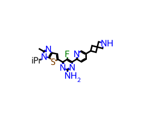 Cc1nc2cc(-c3nc(N)nc(-c4ccc(C5CC6(CNC6)C5)cn4)c3F)sc2n1C(C)C